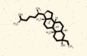 CC[C@]1(O)CC[C@@]2(C)[C@@H](CC[C@@H]3[C@@H]2CC[C@]2(C)[C@@H]([C@H](C)CCC[C@@H](C)O)CC[C@@H]32)C1